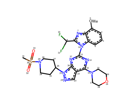 COc1cccc2c1nc(C(F)F)n2-c1nc(N2CCOCC2)c2cnn(C3CCN(S(C)(=O)=O)CC3)c2n1